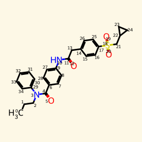 CCCN(C(=O)c1ccc(NC(=O)Cc2ccc(S(=O)(=O)CC3CC3)cc2)cc1)c1ccccc1